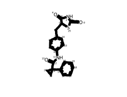 O=C1NC(=O)C(Cc2ccc(NC(=O)C3(c4ccccc4)CC3)cc2)S1